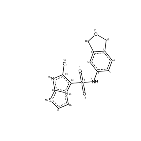 O=S(=O)(Nc1ccc2c(c1)COC2)c1c(Cl)nc2sccn12